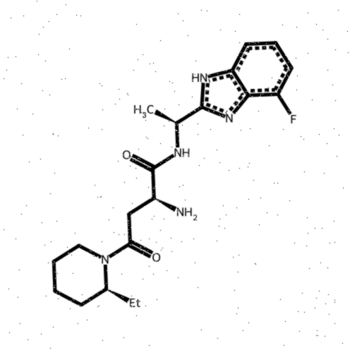 CC[C@H]1CCCCN1C(=O)C[C@H](N)C(=O)N[C@@H](C)c1nc2c(F)cccc2[nH]1